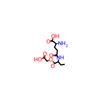 CCC(NC(=O)CC[C@H](N)C(=O)O)C(=O)OCC(=O)O